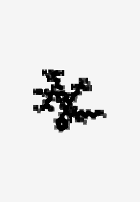 N=C(N)NCCC[C@H](NC(=O)[C@H](CCCNC(=N)N)NC(=O)[C@H](Cc1ccccc1)NC(=O)[C@@H](N)CCCCN)C(=O)N[C@@H](CCC(N)=O)C(=O)O